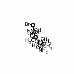 CO[C@@H]1[C@@H](OC(N)=O)[C@@H](O)[C@H](Oc2ccc3c(O)c(NC(O)c4cccc(Br)c4)c(=O)oc3c2C)OC1(C)C